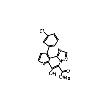 COC(=O)c1c(O)c2nccc(-c3cccc(Cl)c3)c2c2ncnn12